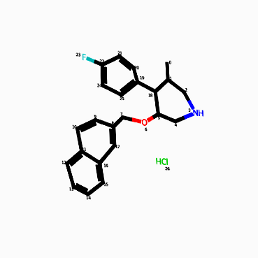 CC1CNCC(OCc2ccc3ccccc3c2)C1c1ccc(F)cc1.Cl